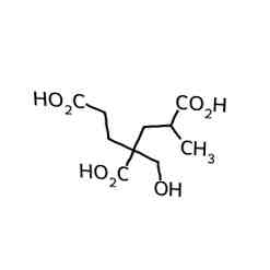 CC(CC(CO)(CCC(=O)O)C(=O)O)C(=O)O